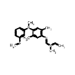 CCN(C)C=Nc1cc(C)c(N(C)c2cccc(SC)c2)cc1C